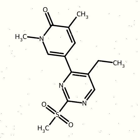 CCc1cnc(S(C)(=O)=O)nc1-c1cc(C)c(=O)n(C)c1